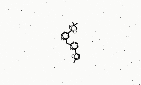 Cc1ccc(-c2cccc(Cc3cc(C4=NC(C)(C)CO4)ccn3)n2)o1